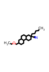 CCCCCC1(C#N)CCC2C(CCC3CC(COCC)CCC32)C1